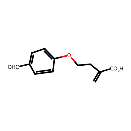 C=C(CCOc1ccc(C=O)cc1)C(=O)O